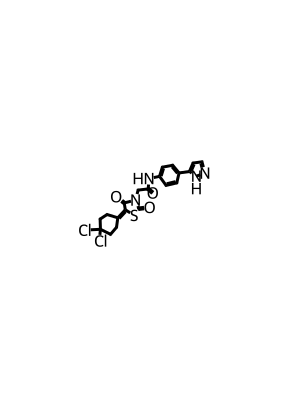 O=C(CN1C(=O)SC(=C2CCC(Cl)(Cl)CC2)C1=O)Nc1ccc(-c2ccn[nH]2)cc1